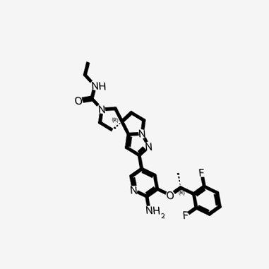 CCNC(=O)N1CC[C@@]2(CCn3nc(-c4cnc(N)c(O[C@H](C)c5c(F)cccc5F)c4)cc32)C1